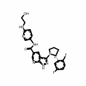 O=C(Nc1ccc(NCCO)nc1)c1cnc2[nH]nc(N3CCC[C@@H]3c3cc(F)ccc3F)c2c1